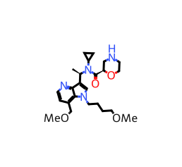 COCCCCn1cc([C@@H](C)N(C(=O)[C@H]2CNCCO2)C2CC2)c2nccc(COC)c21